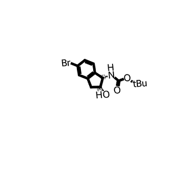 CC(C)(C)OC(=O)N[C@H]1c2ccc(Br)cc2C[C@H]1O